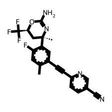 Cc1cc(F)c([C@@]2(C)C[C@@H](C(F)(F)F)OC(N)=N2)cc1C#Cc1ccc(C#N)cn1